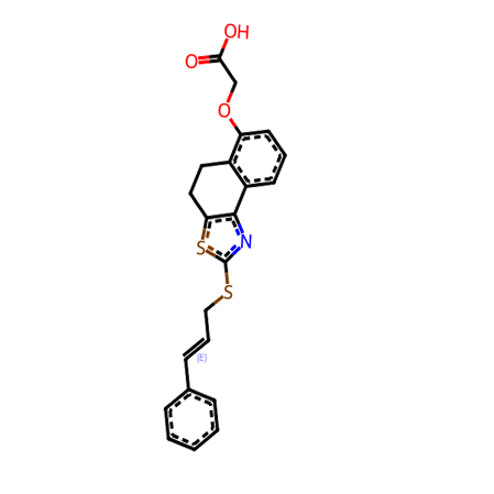 O=C(O)COc1cccc2c1CCc1sc(SC/C=C/c3ccccc3)nc1-2